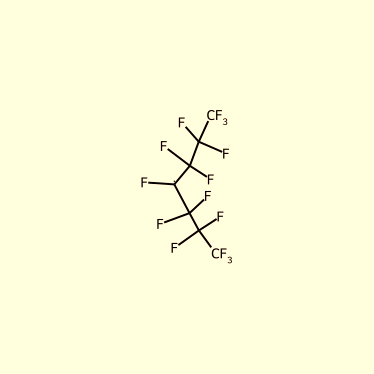 F[C](C(F)(F)C(F)(F)C(F)(F)F)C(F)(F)C(F)(F)C(F)(F)F